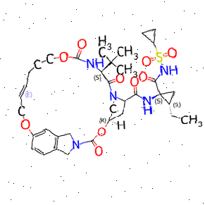 CC[C@H]1C[C@@]1(NC(=O)C1C[C@@H]2CN1C(=O)[C@H](C(C)(C)C)NC(=O)OCCC/C=C/COc1ccc3c(c1)CN(C3)C(=O)O2)C(=O)NS(=O)(=O)C1CC1